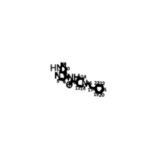 O=C(Nc1ccnc2[nH]ncc12)C1CCN(CCc2ccccc2)CC1